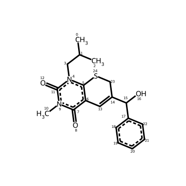 CC(C)Cn1c2c(c(=O)n(C)c1=O)C=C(C(O)c1ccccc1)CS2